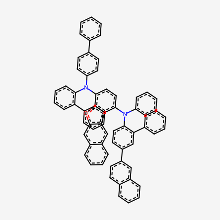 c1ccc(-c2ccc(N(c3ccccc3-c3ccccc3)c3ccc(N(c4ccccc4)c4ccc(-c5ccc6ccccc6c5)cc4-c4ccccc4)c4c3oc3cc5ccccc5cc34)cc2)cc1